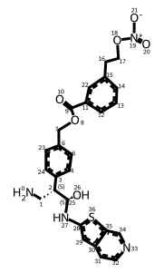 NC[C@H](c1ccc(COC(=O)c2cccc(CCO[N+](=O)[O-])c2)cc1)[C@H](O)Nc1cc2ccncc2s1